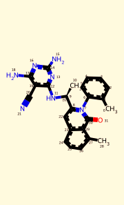 Cc1ccccc1-n1c([C@H](C)Nc2nc(N)nc(N)c2C#N)cc2cccc(C)c2c1=O